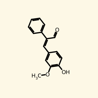 COc1cc(C=C(C=O)c2ccccc2)ccc1O